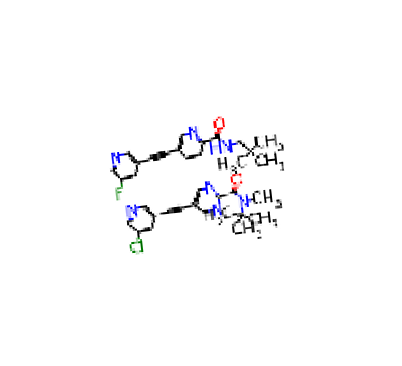 CC(C)(C)CNC(=O)c1ccc(C#Cc2cncc(F)c2)cn1.CN(C(=O)c1ncc(C#Cc2cncc(Cl)c2)cn1)C(C)(C)C